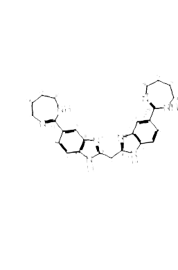 c1cc2[nH]c(Cc3nc4cc(C5=NCCCCN5)ccc4[nH]3)nc2cc1C1=NCCCCN1